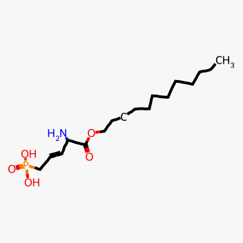 CCCCCCCCCCCCOC(=O)C(N)C=CCP(=O)(O)O